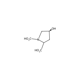 O=C(O)C1C[C@H](O)CN1C(=O)O